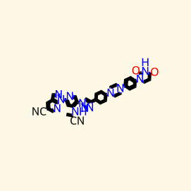 C[C@H](C#N)Nc1cc(-n2ncc3cc(C#N)cnc32)ncc1-n1cc(C2CCC(N3CCN(c4ccc(N5CCC(=O)NC5=O)cc4)CC3)CC2)nn1